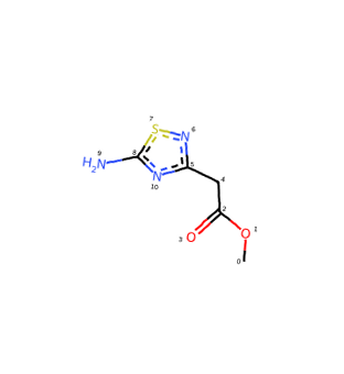 COC(=O)Cc1nsc(N)n1